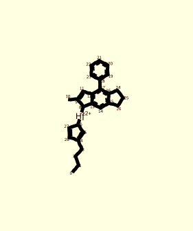 CCCCC1=C[CH]([Hf+2][CH]2C(C)=Cc3c2cc2c(c3-c3ccccc3)CCC2)C=C1